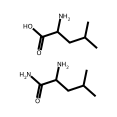 CC(C)CC(N)C(=O)O.CC(C)CC(N)C(N)=O